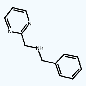 c1ccc(CNCc2ncccn2)cc1